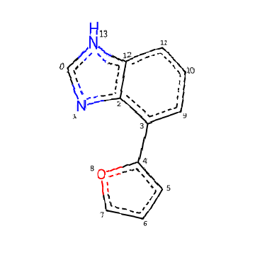 [c]1nc2c(-c3ccco3)cccc2[nH]1